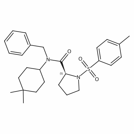 Cc1ccc(S(=O)(=O)N2CCC[C@H]2C(=O)N(Cc2ccccc2)C2CCC(C)(C)CC2)cc1